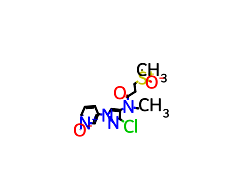 CCN(C(=O)CC[S+](C)[O-])c1cn(-c2ccc[n+]([O-])c2)nc1Cl